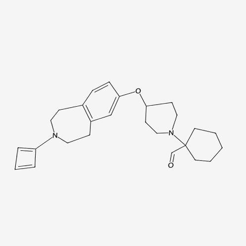 O=CC1(N2CCC(Oc3ccc4c(c3)CCN(C3=CC=C3)CC4)CC2)CCCCC1